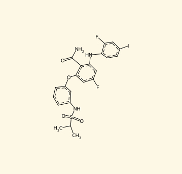 CC(C)S(=O)(=O)Nc1cccc(Oc2cc(F)cc(Nc3ccc(I)cc3F)c2C(N)=O)c1